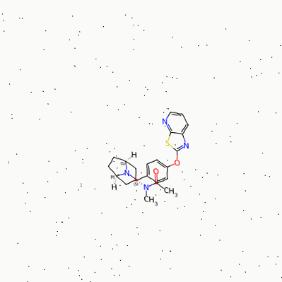 CC(=O)N(C)[C@@H]1C[C@H]2CC[C@@H](C1)N2Cc1ccc(Oc2nc3cccnc3s2)cc1